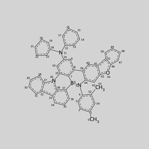 Cc1ccc(N2B3c4c(cc(N(c5ccccc5)c5ccccc5)cc4-n4c5ccccc5c5cccc3c54)-c3cc4c(cc32)oc2ccccc24)c(C)c1